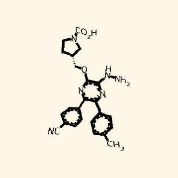 Cc1ccc(-c2nc(NN)c(OC[C@@H]3CCN(C(=O)O)C3)nc2-c2ccc(C#N)cc2)cc1